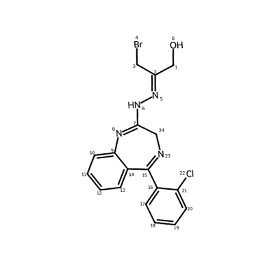 OCC(CBr)=NNC1=Nc2ccccc2C(c2ccccc2Cl)=NC1